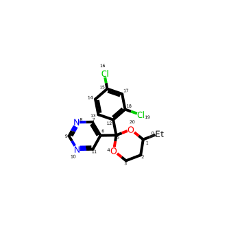 CCC1CCOC(c2cncnc2)(c2ccc(Cl)cc2Cl)O1